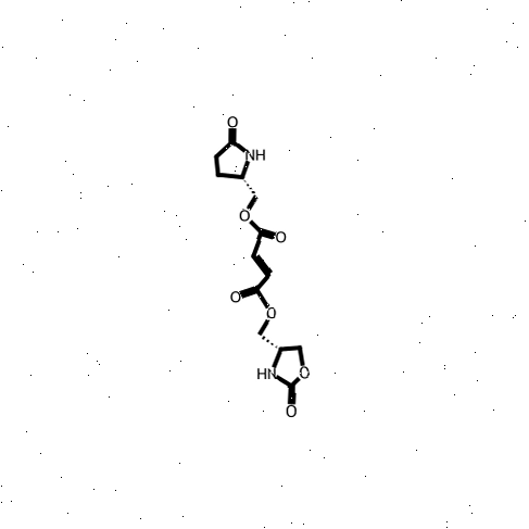 O=C1CC[C@@H](COC(=O)/C=C/C(=O)OC[C@@H]2COC(=O)N2)N1